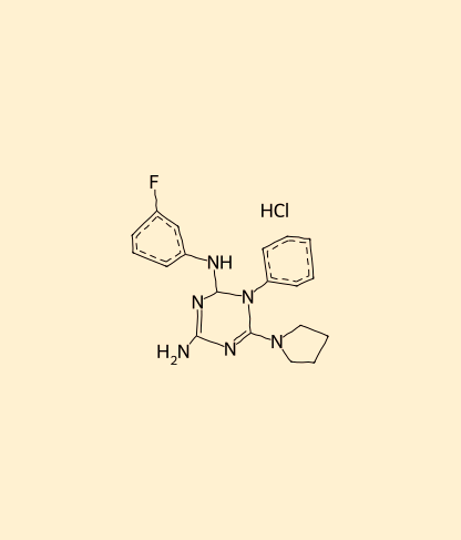 Cl.NC1=NC(Nc2cccc(F)c2)N(c2ccccc2)C(N2CCCC2)=N1